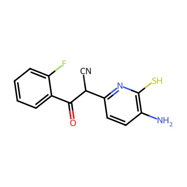 N#CC(C(=O)c1ccccc1F)c1ccc(N)c(S)n1